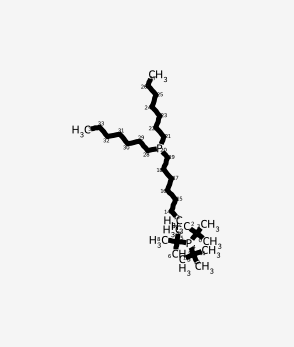 CC(C)(C)P(C(C)(C)C)C(C)(C)C.CCCCCCCP(CCCCCCC)CCCCCCC